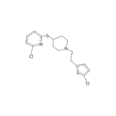 Clc1cccc(SC2CCN(CCc3ccc(Cl)s3)CC2)n1